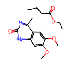 CCCC(=O)OCC.COc1cc2[nH]c(=O)nc(C)c2cc1OC